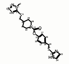 Cn1nnnc1SCC1CCN(C(=O)Oc2ccc(CSc3ncc[nH]3)cc2)CC1